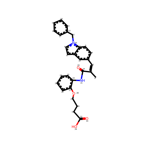 CC(=Cc1ccc2c(ccn2Cc2ccccc2)c1)C(=O)Nc1ccccc1OCCCC(=O)O